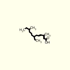 CCC(C)CCCC(CC)CC=CC(C)=CC(=O)O